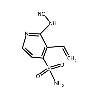 C=Cc1c(S(N)(=O)=O)ccnc1NC#N